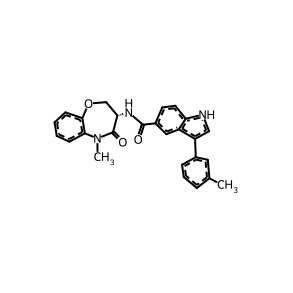 Cc1cccc(-c2c[nH]c3ccc(C(=O)N[C@H]4COc5ccccc5N(C)C4=O)cc23)c1